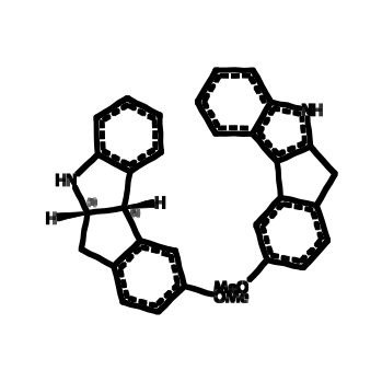 COc1ccc2c(c1)-c1c([nH]c3ccccc13)C2.COc1ccc2c(c1)[C@H]1c3ccccc3N[C@H]1C2